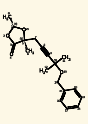 C[C@H]1OC(=O)[C@](C)(CC#CC(C)(C)OCc2ccccc2)O1